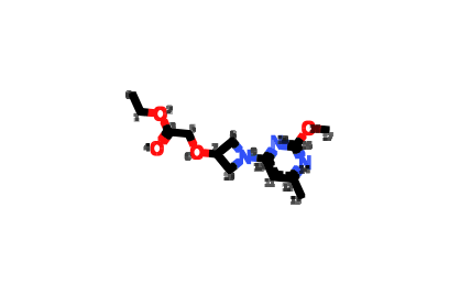 CCOC(=O)COC1CN(c2cc(C)nc(OC)n2)C1